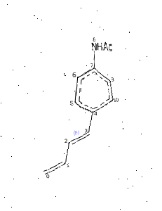 C=C/C=C/c1ccc(NC(C)=O)cc1